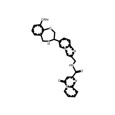 COc1cccc2c1OCC(c1ccc3nc(CNC(=O)c4cc(=O)n5ccccc5n4)cn3c1)NC2